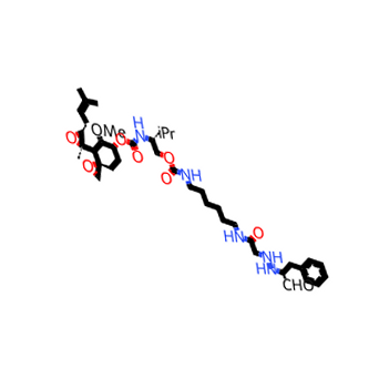 COC1C(OC(=O)N[C@@H](COC(=O)NCCCCCCNC(=O)CNN[C@H](C=O)Cc2ccccc2)C(C)C)CC[C@]2(CO2)C1[C@@]1(C)O[C@@H]1CC=C(C)C